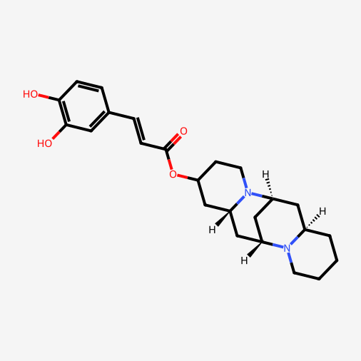 O=C(/C=C/c1ccc(O)c(O)c1)OC1CCN2[C@@H]3C[C@@H](C[C@@H]2C1)N1CCCC[C@@H]1C3